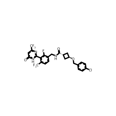 O=c1cc(C(F)(F)F)nc(-c2c(C(F)(F)F)ccc(CNC(=O)[C@H]3C[C@H](OCc4ccc(Cl)cc4)C3)c2F)[nH]1